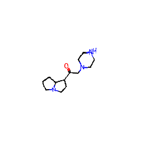 O=C(CN1CCNCC1)C1CCN2CCCC12